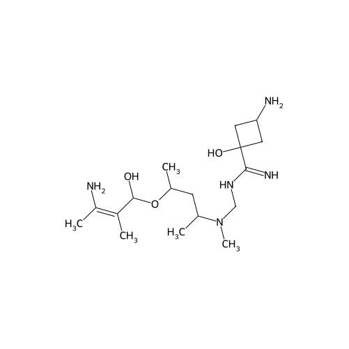 C/C(N)=C(\C)C(O)OC(C)CC(C)N(C)CNC(=N)C1(O)CC(N)C1